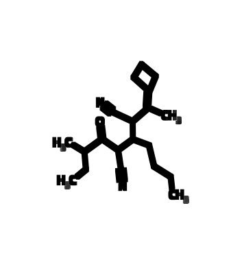 CCCCC(C(C#N)C(=O)C(C)CC)C(C#N)C(C)=C1CCC1